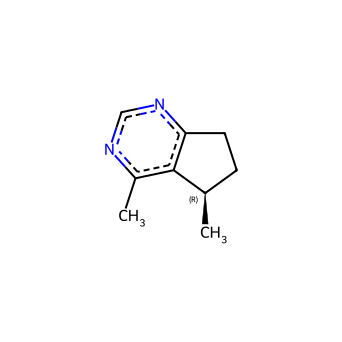 Cc1ncnc2c1[C@H](C)CC2